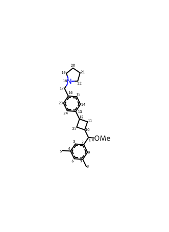 COC(c1cc(C)cc(C)c1)C1CC(c2ccc(CN3CCCC3)cc2)C1